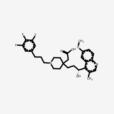 COc1ccc2ncc(C)c([C@H](O)CCC3(CC(=O)O)CCN(CCCc4cc(F)c(F)c(F)c4)CC3)c2c1